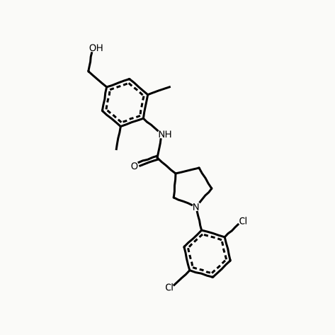 Cc1cc(CO)cc(C)c1NC(=O)C1CCN(c2cc(Cl)ccc2Cl)C1